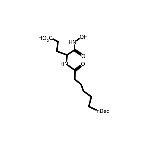 CCCCCCCCCCCCCCCC(=O)NC(CCC(=O)O)C(=O)NO